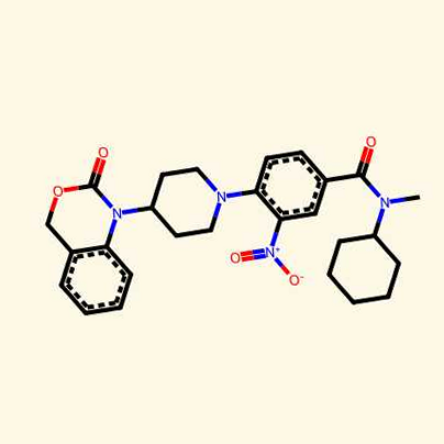 CN(C(=O)c1ccc(N2CCC(N3C(=O)OCc4ccccc43)CC2)c([N+](=O)[O-])c1)C1CCCCC1